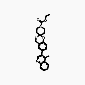 CCOC(=O)N1CCC2(CC1)OCc1cc(-c3cnc4ccccc4c3C)ccc1O2